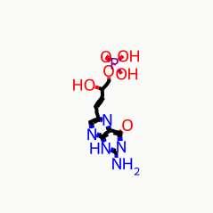 Nc1nc(=O)c2nc(C=CC(O)COP(=O)(O)O)cnc2[nH]1